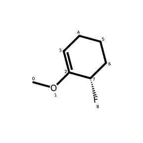 COC1=CCCC[C@@H]1F